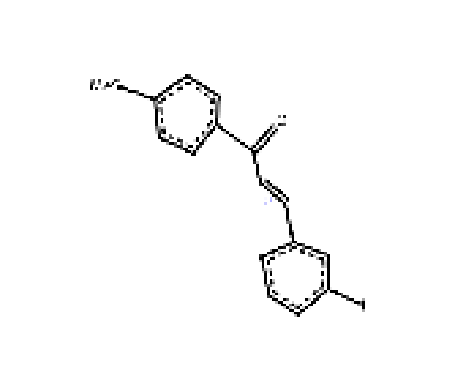 CSc1ccc(C(=O)/C=C/c2cccc(I)c2)cc1